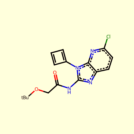 CC(C)(C)OCC(=O)Nc1nc2ccc(Cl)nc2n1C1=CC=C1